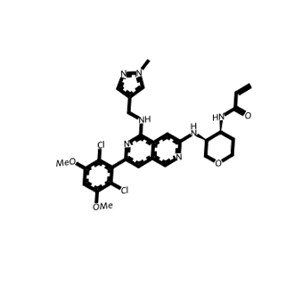 C=CC(=O)N[C@H]1CCOC[C@H]1Nc1cc2c(NCc3cnn(C)c3)nc(-c3c(Cl)c(OC)cc(OC)c3Cl)cc2cn1